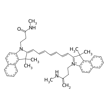 C=C(CC[N+]1=C(/C=C/C=C/C=C/C=C2/N(CCC(=O)NC)c3ccc4ccccc4c3C2(C)C)C(C)(C)c2c1ccc1ccccc21)NC